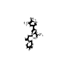 C=C(CCn1cc(-c2cnc(N)c(C(F)(F)F)c2)nc1[C@H](O)C(F)(F)F)N1CCC(F)(F)CC1